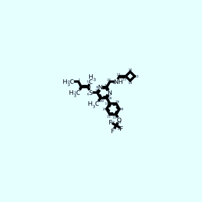 CC/C(C)=C(\C)Sc1nc(CNC=C2CCC2)nc(-c2ccc(OC(F)(F)F)cc2)c1C